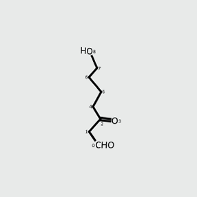 O=CCC(=O)CCCCO